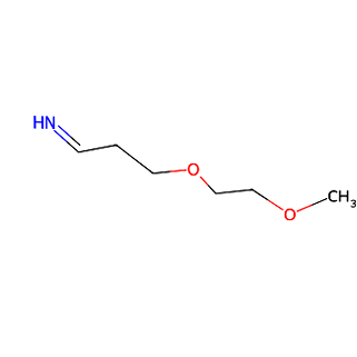 COCCOCCC=N